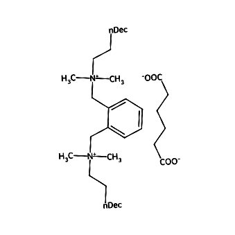 CCCCCCCCCCCC[N+](C)(C)Cc1ccccc1C[N+](C)(C)CCCCCCCCCCCC.O=C([O-])CCCCC(=O)[O-]